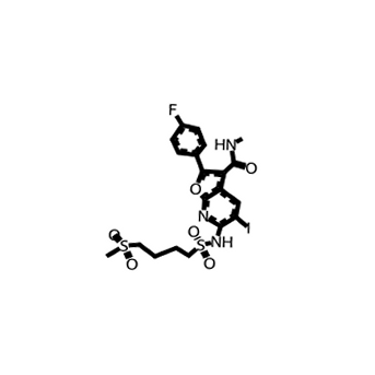 CNC(=O)c1c(-c2ccc(F)cc2)oc2nc(NS(=O)(=O)CCCCS(C)(=O)=O)c(I)cc12